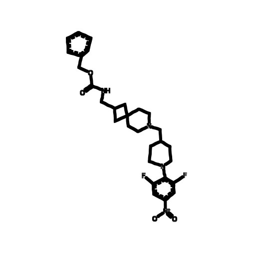 O=C(NCC1CC2(CCN(CC3CCN(c4c(F)cc([N+](=O)[O-])cc4F)CC3)CC2)C1)OCc1ccccc1